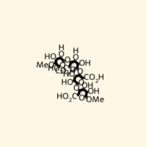 CO[C@H]1OC(C(=O)O)[C@H](O[C@H]2OC(C(=O)O)[C@H](O[C@H]3OC(C(=O)O)[C@H](O[C@H]4OC(C(=O)O)[C@H](OC)C(O)C4O)C(O)C3O)C(O)C2O)C(O)C1O